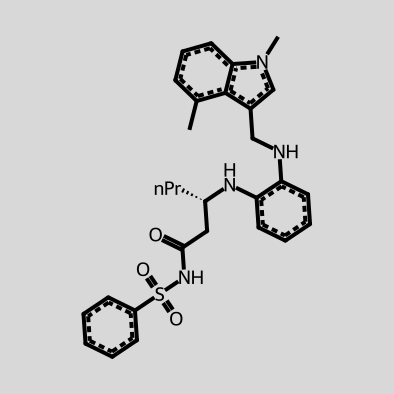 CCC[C@@H](CC(=O)NS(=O)(=O)c1ccccc1)Nc1ccccc1NCc1cn(C)c2cccc(C)c12